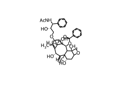 CC(=O)N[C@@H](c1ccccc1)[C@@H](O)CO[C@H]1C[C@@]2(O)[C@@H](OC(=O)c3ccccc3)C3C(C)(C(=O)[C@H](O)C(=C1C)C2(C)C)[C@@H](O)CC1OC[C@]13C